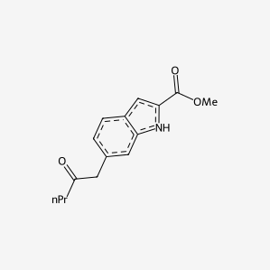 CCCC(=O)Cc1ccc2cc(C(=O)OC)[nH]c2c1